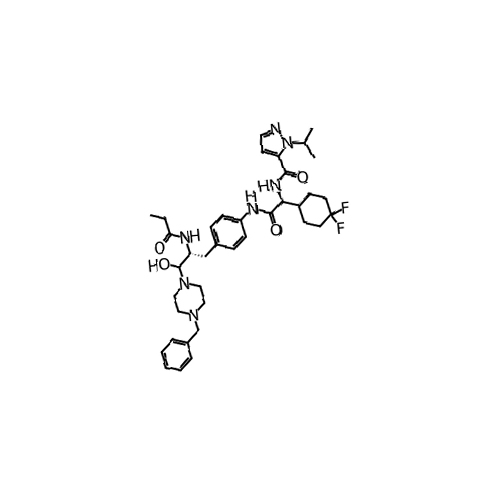 CCC(=O)N[C@H](Cc1ccc(NC(=O)[C@@H](NC(=O)c2ccnn2C(C)C)C2CCC(F)(F)CC2)cc1)C(O)N1CCN(Cc2ccccc2)CC1